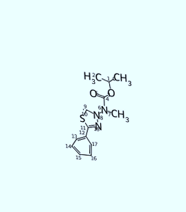 CC(C)OC(=O)N(C)N1[CH]SC(c2ccccc2)=N1